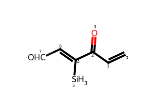 C=CC(=O)C([SiH3])=C[C]=O